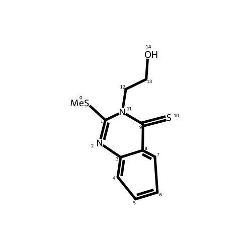 CSc1nc2ccccc2c(=S)n1CCO